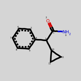 NC(=O)C(c1c[c]ccc1)C1CC1